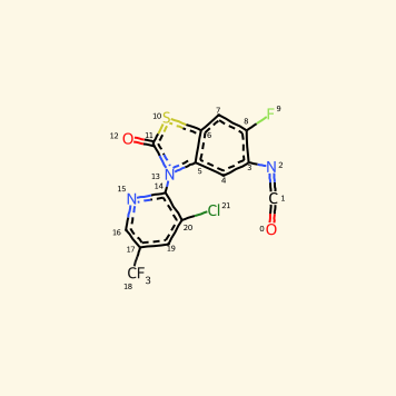 O=C=Nc1cc2c(cc1F)sc(=O)n2-c1ncc(C(F)(F)F)cc1Cl